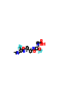 Cc1c(-c2nc3cc(CN4CCC[C@H]4C(=O)O)c(OC(F)F)cc3o2)cccc1-c1cccc(-c2nc3cc(CN4CC(C)C4)cc(C(F)(F)F)c3o2)c1C